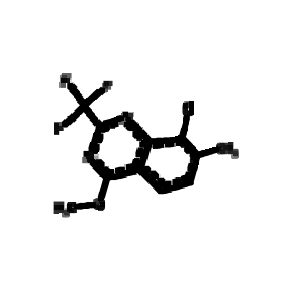 COc1nc(C(F)(F)F)nc2c(Cl)c(C)ccc12